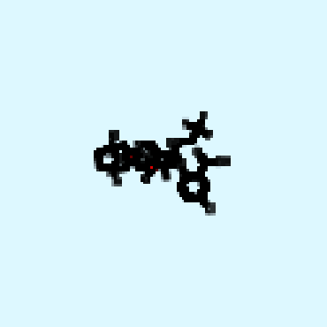 CC(C)(Oc1ccc(Cl)cc1C(=O)O)C(=O)N[C@H]1C[C@H]2CC[C@@H](C1)N2c1ccc(C(=O)NCC(F)(F)F)cn1